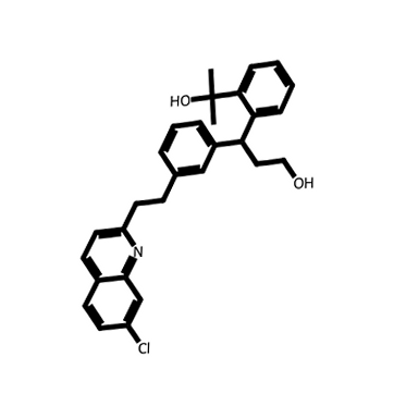 CC(C)(O)c1ccccc1C(CCO)c1cccc(CCc2ccc3ccc(Cl)cc3n2)c1